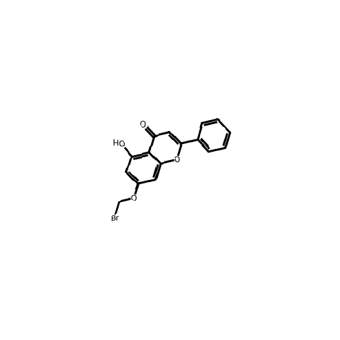 O=c1cc(-c2ccccc2)oc2cc(OCBr)cc(O)c12